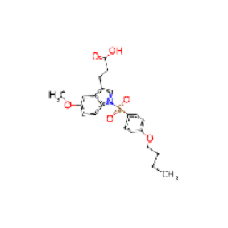 CCCCOc1ccc(S(=O)(=O)n2cc(CCC(=O)O)c3cc(OC)ccc32)cc1